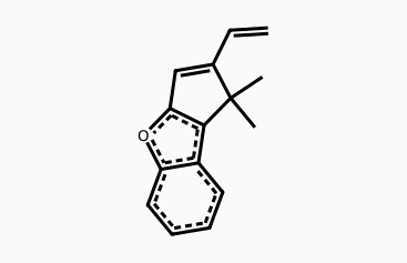 C=CC1=Cc2oc3ccccc3c2C1(C)C